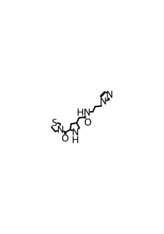 O=C(CC1CNC(C(=O)N2CCSC2)C1)NCCCn1ccnc1